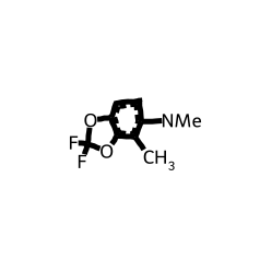 CNc1ccc2c(c1C)OC(F)(F)O2